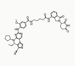 CC[C@@H]1c2c(C#N)ncn2-c2cnc(Nc3ccc(C(=O)NCCCCC(=O)Nc4cccc5c4CN(C4CCC(=O)NC4=O)C5=O)cc3OC)nc2N1C1CCCC1